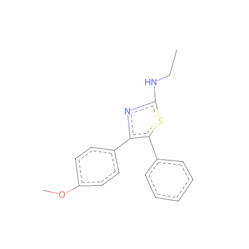 CCNc1nc(-c2ccc(OC)cc2)c(-c2ccccc2)s1